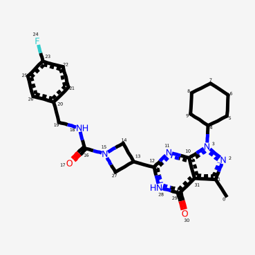 Cc1nn(C2CCCCC2)c2nc(C3CN(C(=O)NCc4ccc(F)cc4)C3)[nH]c(=O)c12